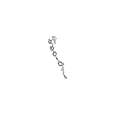 C[C@H](O)c1nccn1Cc1cc(-c2ccc(C#Cc3ccc(COCCC#N)nc3)cc2)on1